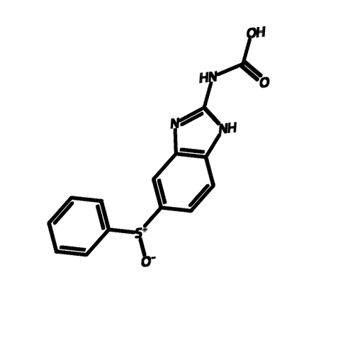 O=C(O)Nc1nc2cc([S+]([O-])c3ccccc3)ccc2[nH]1